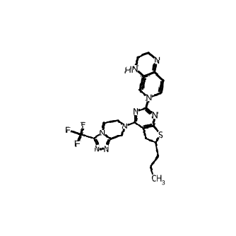 CCCC1Cc2c(nc(N3C=CC4=NCCNC4=C3)nc2N2CCn3c(nnc3C(F)(F)F)C2)S1